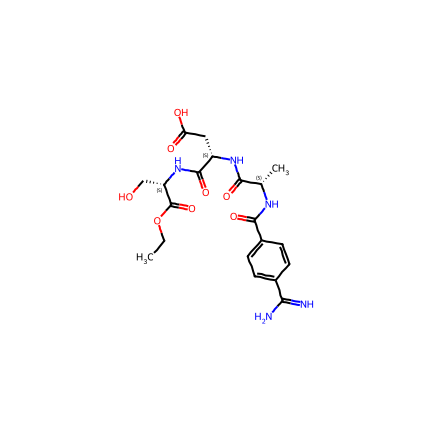 CCOC(=O)[C@H](CO)NC(=O)[C@H](CC(=O)O)NC(=O)[C@H](C)NC(=O)c1ccc(C(=N)N)cc1